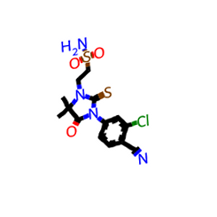 CC1(C)C(=O)N(c2ccc(C#N)c(Cl)c2)C(=S)N1CCS(N)(=O)=O